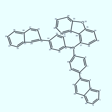 c1ccc2cc(-c3ccc(N(c4ccc(-c5ccc6ccccc6c5)cc4)c4cccc5oc6cccnc6c45)cc3)ccc2c1